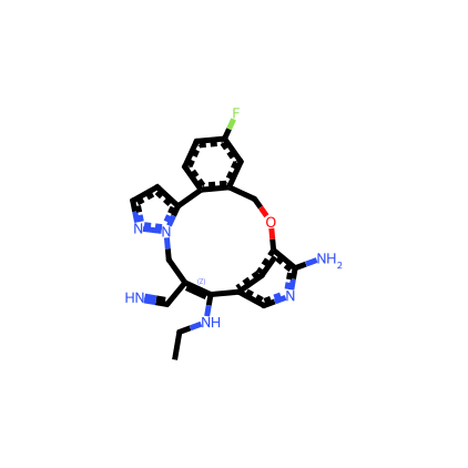 CCN/C1=C(\C=N)Cn2nccc2-c2ccc(F)cc2COc2cc1cnc2N